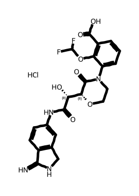 Cl.N=C1NCc2cc(NC(=O)[C@H](O)[C@H]3OCCN(c4cccc(C(=O)O)c4OC(F)F)C3=O)ccc21